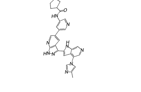 Cc1cn(-c2cncc3[nH]c(-c4n[nH]c5ncc(-c6cncc(NC(=O)C7CCCC7)c6)cc45)cc23)cn1